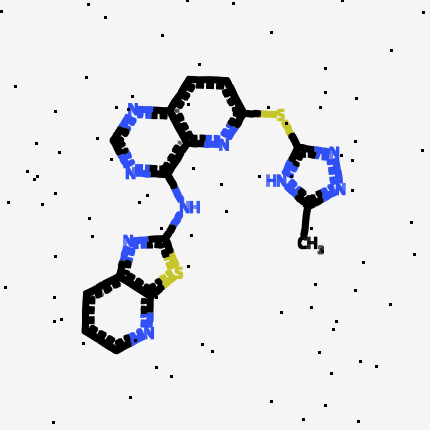 Cc1nnc(Sc2ccc3ncnc(Nc4nc5cccnc5s4)c3n2)[nH]1